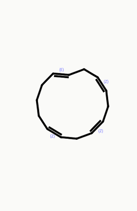 C1=C\C/C=C\CCC/C=C/C/C=C\C/1